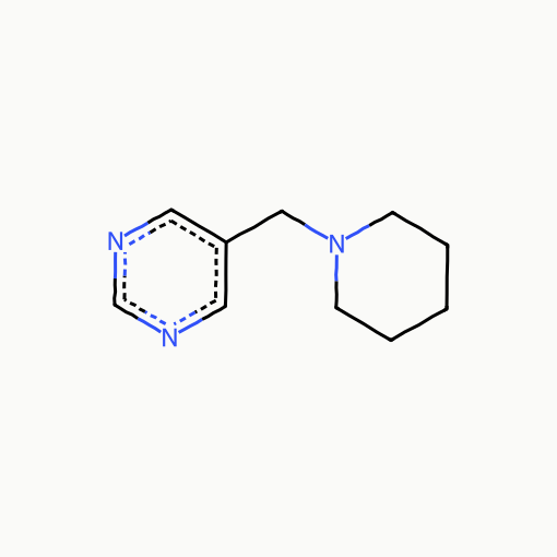 c1ncc(CN2CCCCC2)cn1